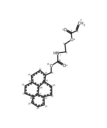 C=CC(=O)OCCNC(=O)OCc1ccc2ccc3cccc4ccc1c2c34